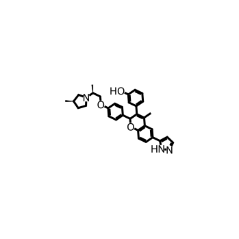 CC1=C(c2cccc(O)c2)C(c2ccc(OC[C@H](C)N3CC[C@@H](C)C3)cc2)Oc2ccc(-c3ccn[nH]3)cc21